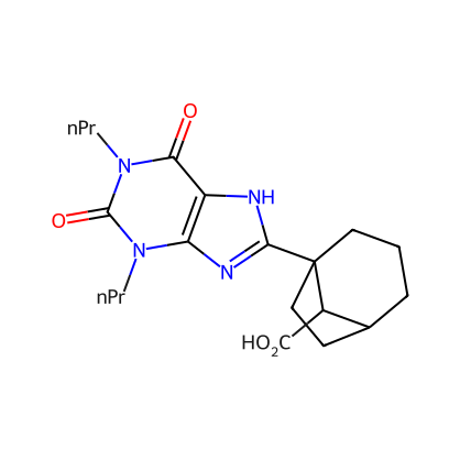 CCCn1c(=O)c2[nH]c(C34CCCC(CC3)C4C(=O)O)nc2n(CCC)c1=O